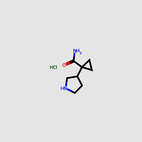 Cl.NC(=O)C1(C2CCNC2)CC1